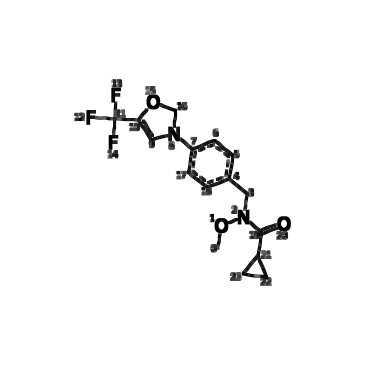 CON(Cc1ccc(N2C=C(C(F)(F)F)OC2)cc1)C(=O)C1CC1